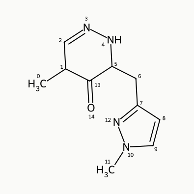 CC1C=NNC(Cc2ccn(C)n2)C1=O